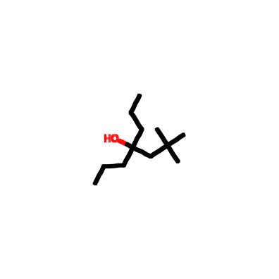 CCCC(O)(CCC)CC(C)(C)C